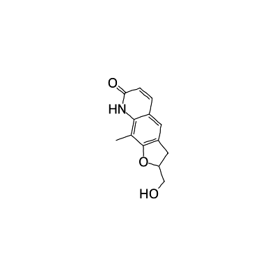 Cc1c2c(cc3ccc(=O)[nH]c13)CC(CO)O2